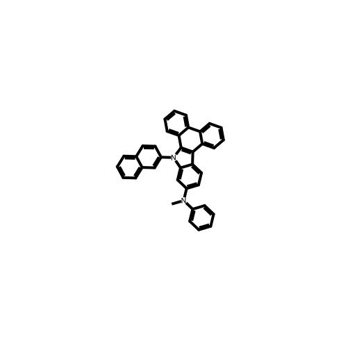 CN(c1ccccc1)c1ccc2c3c4ccccc4c4ccccc4c3n(-c3ccc4ccccc4c3)c2c1